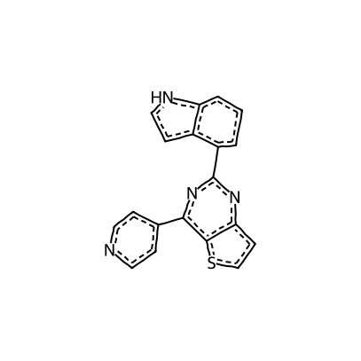 c1cc(-c2nc(-c3ccncc3)c3sccc3n2)c2cc[nH]c2c1